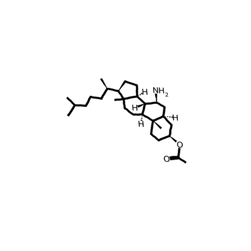 CC(=O)O[C@H]1CC[C@@]2(C)[C@H](C1)C[C@H](N)[C@H]1[C@@H]3CC[C@H]([C@H](C)CCCC(C)C)C3(C)CC[C@@H]12